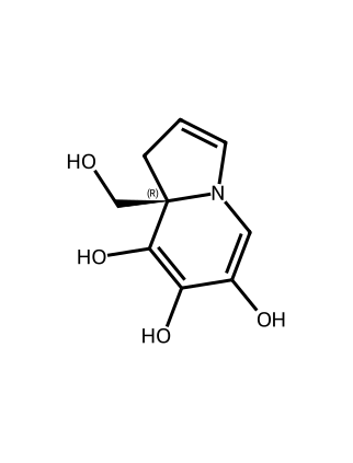 OC[C@@]12CC=CN1C=C(O)C(O)=C2O